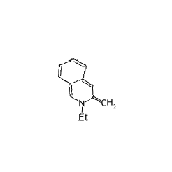 C=C1C=c2ccccc2=CN1CC